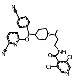 CC(CCNC(=O)c1c(Cl)cncc1Cl)N1CCC(C(Oc2cccc(C#N)n2)c2ccc(C#N)cc2)CC1